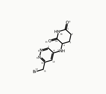 O=C1CCC(Nc2cnnc(CBr)c2)C(=O)N1